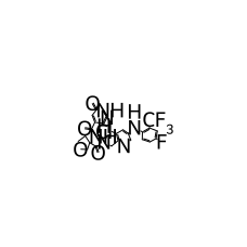 O=C(N[C@@]1(C(=O)NCc2ncc(Nc3ccc(F)cc3C(F)(F)F)cc2Cl)CCOC1)c1cn[nH]c(=O)c1